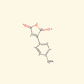 COc1ccc(C2=CC(=O)OC2=O)cc1